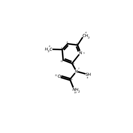 Cc1cc(C)nc(N(S)C(N)=O)c1